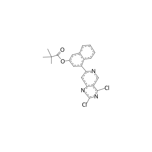 CC(C)(C)C(=O)Oc1cc(-c2cc3nc(Cl)nc(Cl)c3cn2)c2ccccc2c1